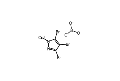 [Cu+3][n]1nc(Br)c(Br)c1Br.[O-]B([O-])[O-]